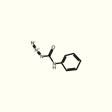 [N-]=[N+]=NC(=O)Nc1ccccc1